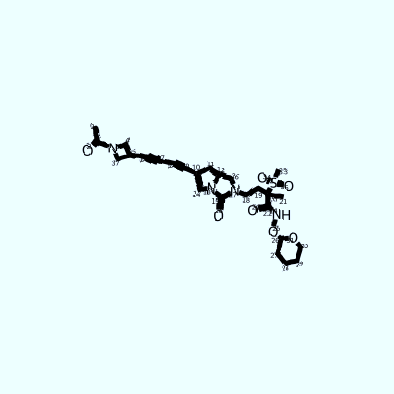 CC(=O)N1CC(C#CC#Cc2cc3n(c2)C(=O)N(CCC(C)(C(=O)NOC2CCCCO2)S(C)(=O)=O)C3)C1